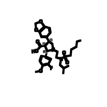 CCCCCS(=O)(=O)N(CCN1C[C@H](c2ccc3c(c2)OCO3)[C@H](C(=O)O)[C@H]1c1ccc(OC)c(F)c1)CC(C)C